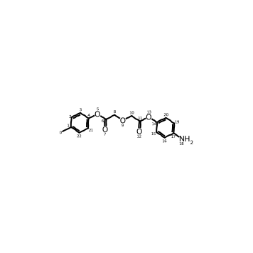 Cc1ccc(OC(=O)COCC(=O)Oc2ccc(N)cc2)cc1